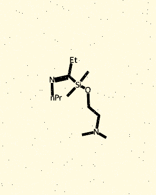 CCCN=C(CC)[Si](C)(C)OCCN(C)C